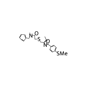 CSc1ccc(-c2nc(CSCC(=O)N(C)Cc3ccccc3)c(C)o2)cc1